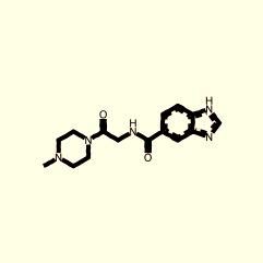 CN1CCN(C(=O)CNC(=O)c2ccc3[nH]cnc3c2)CC1